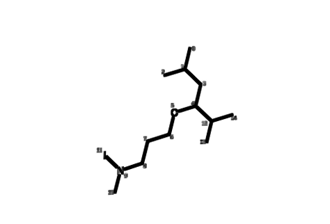 CC(C)CC(OCCCN(C)I)C(C)C